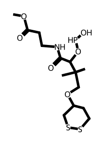 COC(=O)CCNC(=O)C(OPO)C(C)(C)COC1CCSSC1